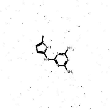 Cc1ccc(Nc2nc(N)nc(N)n2)[nH]1